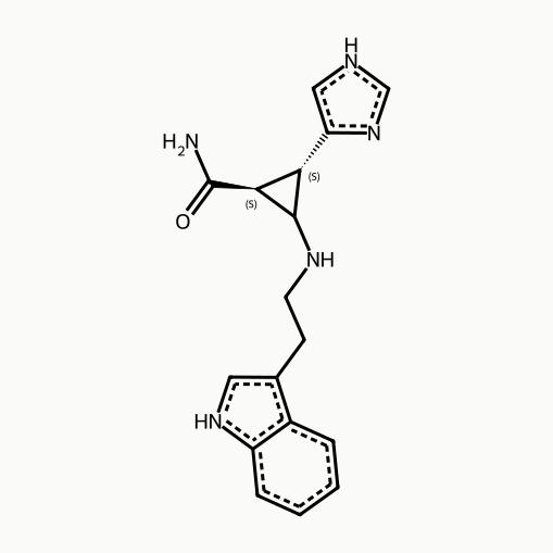 NC(=O)[C@@H]1C(NCCc2c[nH]c3ccccc23)[C@H]1c1c[nH]cn1